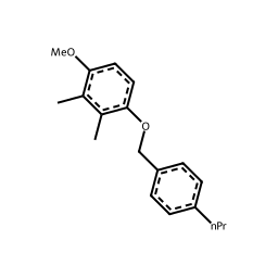 CCCc1ccc(COc2ccc(OC)c(C)c2C)cc1